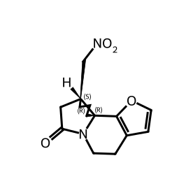 O=C1C[C@H]2[C@H](C[N+](=O)[O-])CC[C@]23c2occc2CCN13